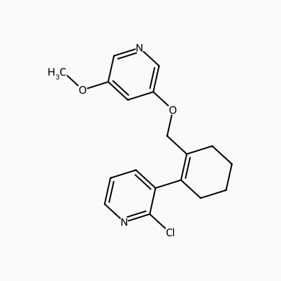 COc1cncc(OCC2=C(c3cccnc3Cl)CCCC2)c1